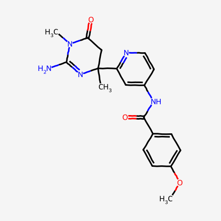 COc1ccc(C(=O)Nc2ccnc(C3(C)CC(=O)N(C)C(N)=N3)c2)cc1